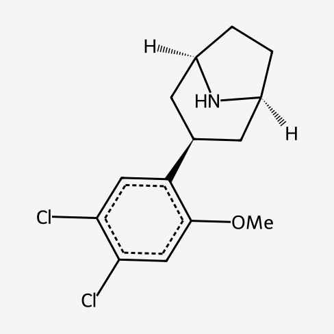 COc1cc(Cl)c(Cl)cc1[C@H]1C[C@H]2CC[C@@H](C1)N2